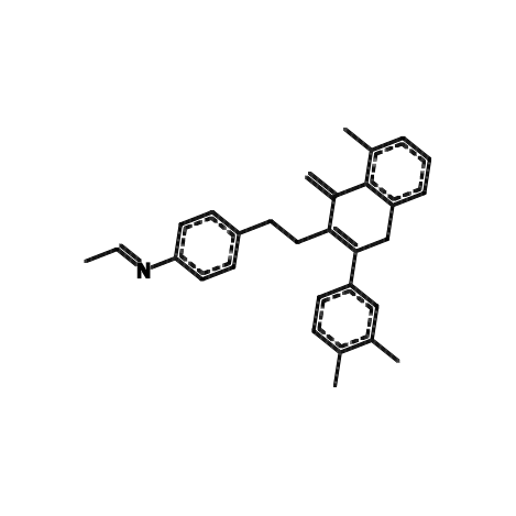 C=C1C(CCc2ccc(/N=C/C)cc2)=C(c2ccc(C)c(C)c2)Cc2cccc(C)c21